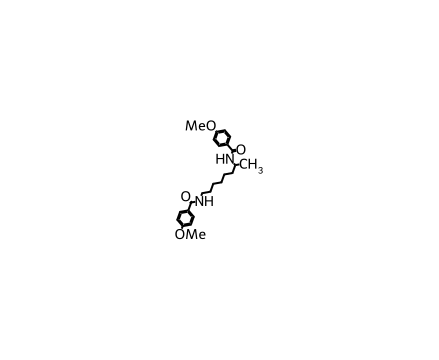 COc1ccc(C(=O)NCCCCCCC(C)NC(=O)c2ccc(OC)cc2)cc1